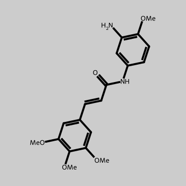 COc1ccc(NC(=O)C=Cc2cc(OC)c(OC)c(OC)c2)cc1N